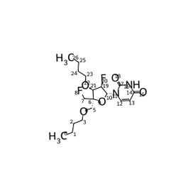 CCCCOC[C@@]1(CF)O[C@@H](n2ccc(=O)[nH]c2=O)[C@H](F)[C@@H]1OCCCC